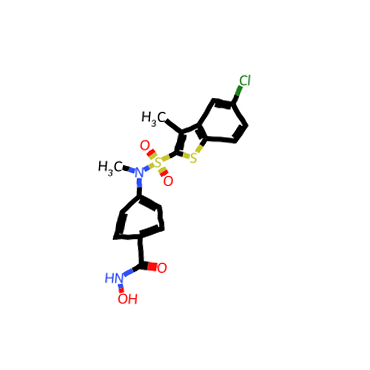 Cc1c(S(=O)(=O)N(C)c2ccc(C(=O)NO)cc2)sc2ccc(Cl)cc12